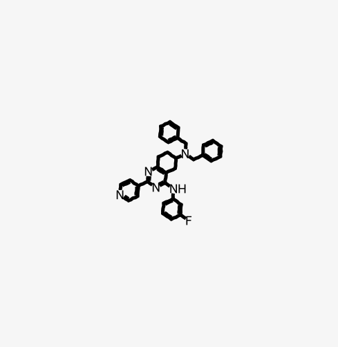 Fc1cccc(Nc2nc(-c3ccncc3)nc3c2CC(N(Cc2ccccc2)Cc2ccccc2)CC3)c1